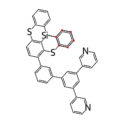 c1ccc([Si]23c4ccccc4Sc4ccc(-c5cccc(-c6cc(-c7cccnc7)cc(-c7cccnc7)c6)c5)c(c42)Sc2ccccc23)cc1